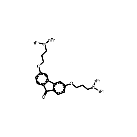 CCCN(CCC)CCCOc1ccc2c(c1)-c1cc(OCCCN(CCC)CCC)ccc1C2=O